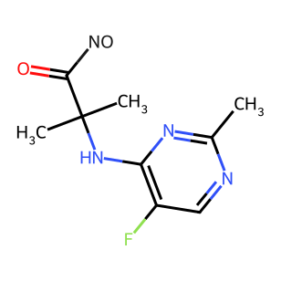 Cc1ncc(F)c(NC(C)(C)C(=O)N=O)n1